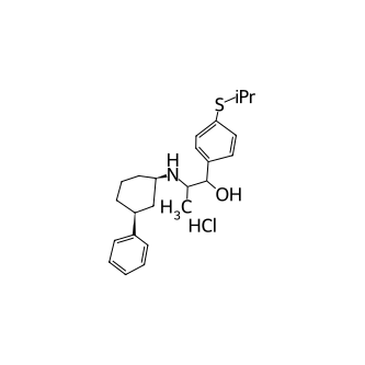 CC(C)Sc1ccc(C(O)C(C)N[C@@H]2CCC[C@H](c3ccccc3)C2)cc1.Cl